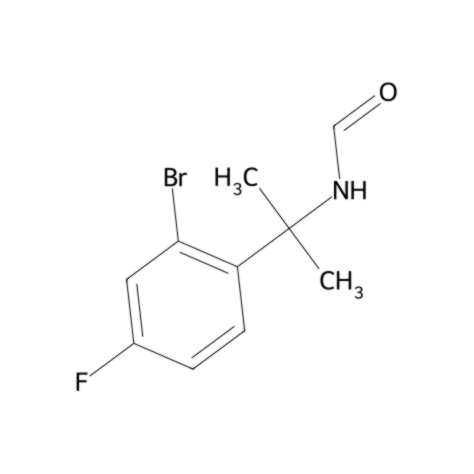 CC(C)(NC=O)c1ccc(F)cc1Br